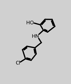 Oc1ccccc1NCc1ccc(Cl)cc1